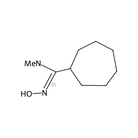 CN/C(=N\O)C1CCCCCC1